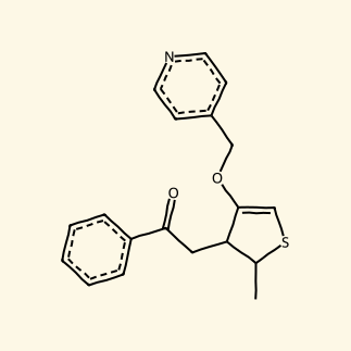 CC1SC=C(OCc2ccncc2)C1CC(=O)c1ccccc1